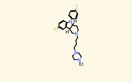 CCN1CCN(CCCCN2CC[C@@H]3[C@@H](C2)c2cc(F)ccc2N3c2ccc(F)cc2)CC1